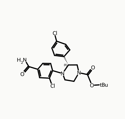 CC(C)(C)OC(=O)N1CCN(c2ccc(C(N)=O)cc2Cl)[C@H](c2ccc(Cl)cc2)C1